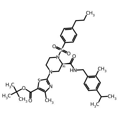 CCCc1ccc(S(=O)(=O)N2CCN(c3nc(C)c(C(=O)OC(C)(C)C)s3)C[C@@H]2C(=O)NCc2ccc(C(C)C)cc2C)cc1